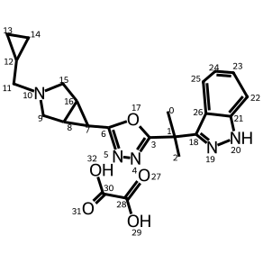 CC(C)(c1nnc(C2C3CN(CC4CC4)CC32)o1)c1n[nH]c2ccccc12.O=C(O)C(=O)O